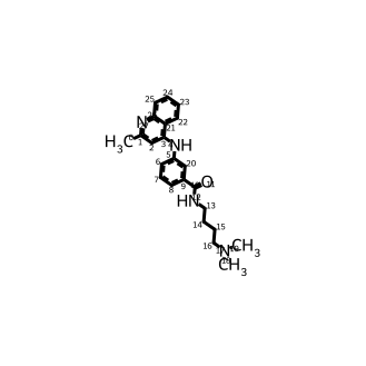 Cc1cc(Nc2cccc(C(=O)NCCCCN(C)C)c2)c2ccccc2n1